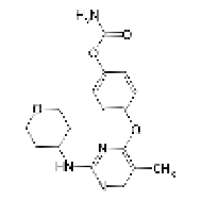 Cc1cnc(NC2CCOCC2)nc1Oc1ccc(OC(N)=O)cc1